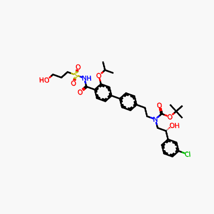 CC(C)Oc1cc(-c2ccc(CCN(C[C@H](O)c3cccc(Cl)c3)C(=O)OC(C)(C)C)cc2)ccc1C(=O)NS(=O)(=O)CCCO